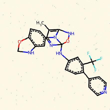 CC1=C2NOC(Nc3ccc(-c4ccncc4)c(C(F)(F)F)c3)(N=C1)N2c1ccc2c(c1)NCO2